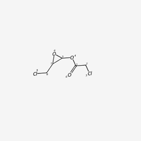 O=C(CCl)OC1OC1CCl